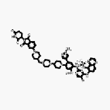 COc1cc(N2CCC(N3CCN(CC4CCN(c5ccc6c(c5)C(=O)N(C5CCC(=O)NC5=O)C6=O)CC4)CC3)CC2)c(-c2cnn(C)c2)cc1Nc1ncc(Br)c(Nc2ccc3nccnc3c2NS(C)(=O)=O)n1